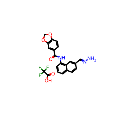 NN=Cc1ccc2cccc(NC(=O)c3ccc4c(c3)OCO4)c2c1.O=C(O)C(F)(F)F